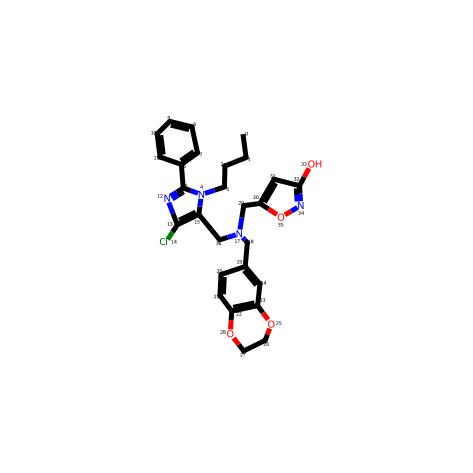 CCCCn1c(-c2ccccc2)nc(Cl)c1CN(Cc1ccc2c(c1)OCCO2)Cc1cc(O)no1